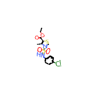 CCOC(=O)C1=C(C)N(S(=O)(=O)Nc2ccc(Cl)cc2)CS1